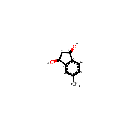 O=C1CC(=O)c2cc(C(F)(F)F)ccc21